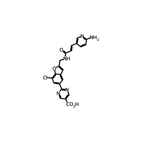 Nc1ccc(/C=C/C(=O)NCc2cc3cc(-c4ncc(C(=O)O)cn4)cc(Cl)c3o2)cn1